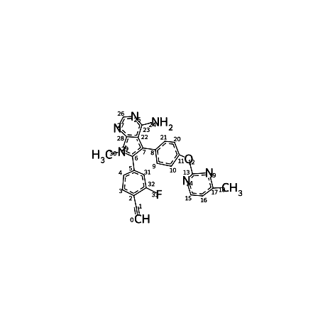 C#Cc1ccc(-c2c(-c3ccc(Oc4nccc(C)n4)cc3)c3c(N)ncnc3n2C)cc1F